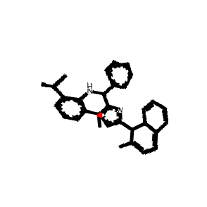 CC1=CC=C2C=CC=CC2C1c1csc(C(Nc2c(C(C)C)cccc2C(C)C)c2ccccc2)n1